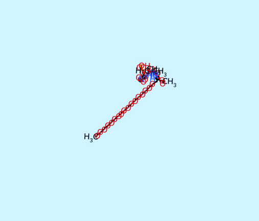 COCCOCCOCCOCCOCCOCCOCOCCOCCOCCOCCOCCOCCOCCOCCOCCOCCCc1cc(NC(=O)[C@H](C)NC(=O)[C@@H](NC(=O)CN2C(=O)[C@@H](N3C(=O)C=CC3=O)C[C@H]2COCCS(=O)(=O)O)C(C)C)ccc1COC(C)=O